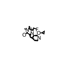 C=C(CCF)N(C)C(=O)c1cc2ccnc(OC3CC3)c2[nH]1